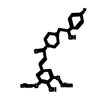 CCCCCCCCCOc1cc(C=CC(=O)N2CCN(CC(O)c3ccc(F)cc3)CC2)cc(OCCCCCCCCC)c1O